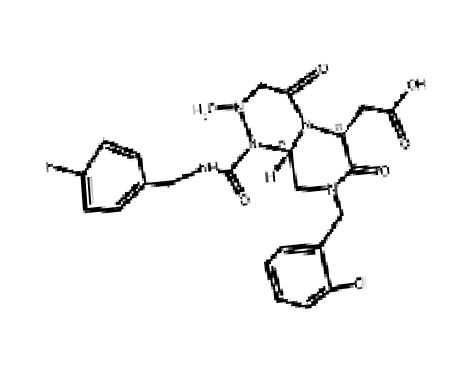 CN1CC(=O)N2[C@@H](CC(=O)O)C(=O)N(Cc3ccccc3Cl)C[C@@H]2N1C(=O)NCc1ccc(F)cc1